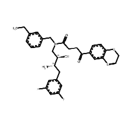 CCc1cccc(CN(C[C@@H](O)[C@@H](N)Cc2cc(F)cc(F)c2)C(=O)CCC(=O)c2ccc3c(c2)OCCO3)c1